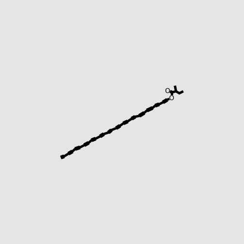 C#CC#CC#CC#CC#CC#CC#CC#CC#CC#CC#CC#CC#CC#COC(=O)C(C)CC